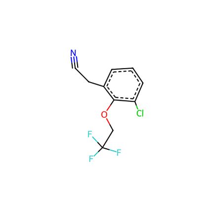 N#CCc1cccc(Cl)c1OCC(F)(F)F